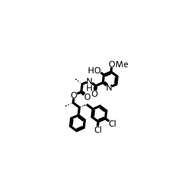 COc1ccnc(C(=O)N[C@@H](C)C(=O)O[C@@H](C)[C@H](Cc2ccc(Cl)c(Cl)c2)c2ccccc2)c1O